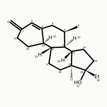 C=C1C=C2C[C@@H](C)[C@@H]3[C@H](CC[C@@]4(C)[C@H]3CC[C@@]4(O)CC)[C@H]2CC1